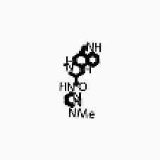 CNc1ccc(NC(=O)C2C[C@@H]3c4cccc5[nH]cc(c45)C[C@H]3N(C)C2)nn1